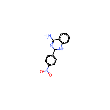 NC1=NC(c2ccc([N+](=O)[O-])cc2)Nc2ccccc21